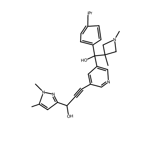 Cc1cc(C(O)C#Cc2cncc(C(O)(c3ccc(C(C)C)cc3)C3(C)CN(C)C3)c2)nn1C